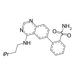 CC(C)CCNc1ncnc2ccc(-c3ccccc3S(N)(=O)=O)cc12